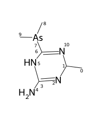 CC1N=C(N)NC([As](C)C)=N1